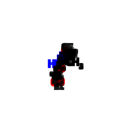 CCS(=O)(=O)c1ccc(CC(=O)Nc2cc(C)c(-c3ccccc3OC(F)(F)F)nn2)cc1